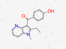 CCc1c(C(=O)c2ccc(O)cc2)c2ncccc2n1C